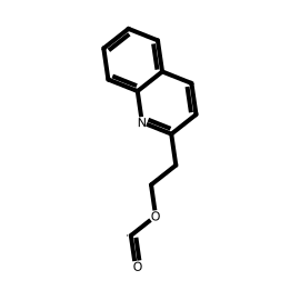 O=[C]OCCc1ccc2ccccc2n1